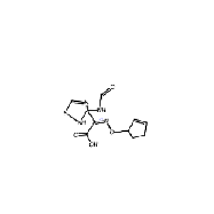 O=CNC1(/C(=N/OC2C=CCC2)C(=O)O)N=CSN1